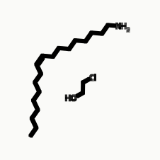 CCCCCCCC/C=C\CCCCCCCCN.OCCCl